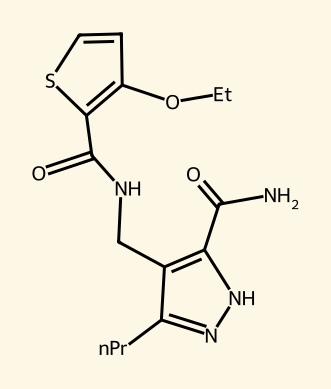 CCCc1n[nH]c(C(N)=O)c1CNC(=O)c1sccc1OCC